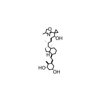 C=C1/C(=C\C=C2/CCC[C@]3(C)[C@@H]([C@H](C)/C=C/[C@H](O)C4(C5=NC(C)CO5)CC4)CC[C@@H]23)C[C@@H](O)C[C@@H]1O